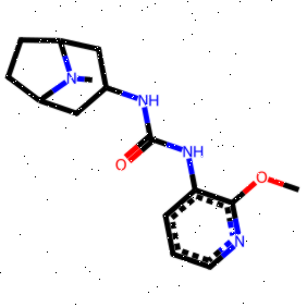 COc1ncccc1NC(=O)NC1CC2CCC(C1)N2C